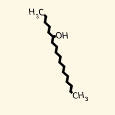 CCCCCCCCCCCCC(O)CCCCC